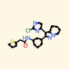 O=C(Cc1cccs1)Nc1cccc(-c2nn3ccccc3c2-c2ccnc(Cl)n2)c1